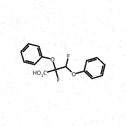 O=C(O)C(F)(Oc1ccccc1)C(F)Oc1ccccc1